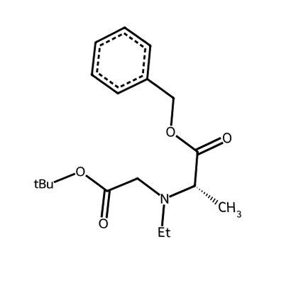 CCN(CC(=O)OC(C)(C)C)[C@@H](C)C(=O)OCc1ccccc1